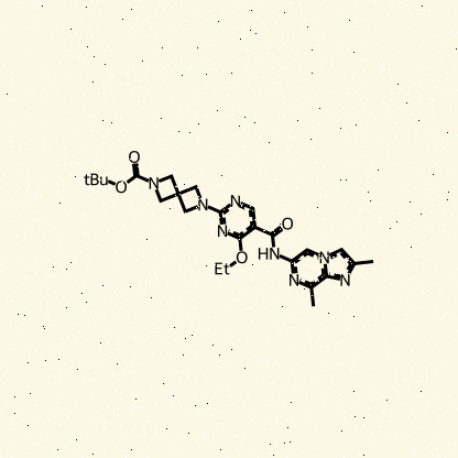 CCOc1nc(N2CC3(CN(C(=O)OC(C)(C)C)C3)C2)ncc1C(=O)Nc1cn2cc(C)nc2c(C)n1